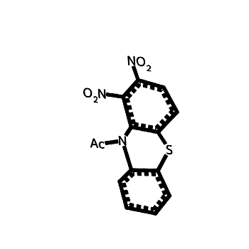 CC(=O)N1c2ccccc2Sc2ccc([N+](=O)[O-])c([N+](=O)[O-])c21